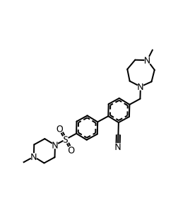 CN1CCCN(Cc2ccc(-c3ccc(S(=O)(=O)N4CCN(C)CC4)cc3)c(C#N)c2)CC1